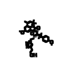 COc1ccc([Si](C)(C)[C@H]2[C@H](CCn3cc(CCO)nn3)O[C@@]3(C(=O)N4c5c(cc(OC)cc53)C(C)=CC4(C)C)[C@@H]2C)cc1